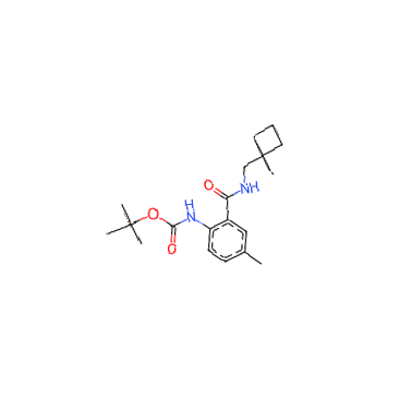 Cc1ccc(NC(=O)OC(C)(C)C)c(C(=O)NCC2(C)CCC2)c1